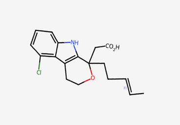 C/C=C/CCC1(CC(=O)O)OCCc2c1[nH]c1cccc(Cl)c21